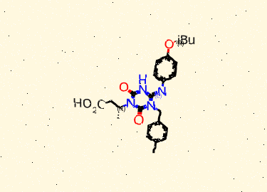 CC[C@@H](C)Oc1ccc(/N=c2\[nH]c(=O)n([C@H](C)CC(=O)O)c(=O)n2Cc2ccc(C)cc2)cc1